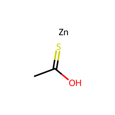 CC(O)=S.[Zn]